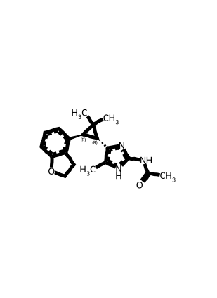 CC(=O)Nc1nc([C@@H]2[C@@H](c3cccc4c3CCO4)C2(C)C)c(C)[nH]1